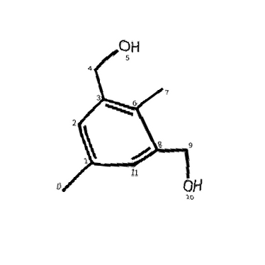 Cc1cc(CO)c(C)c(CO)c1